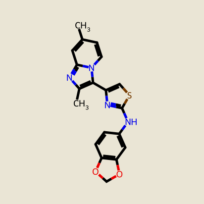 Cc1ccn2c(-c3csc(Nc4ccc5c(c4)OCO5)n3)c(C)nc2c1